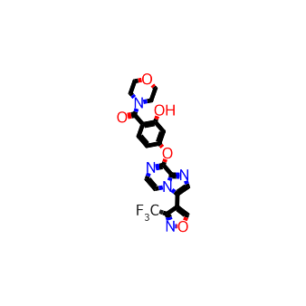 O=C(c1ccc(Oc2nccn3c(-c4conc4C(F)(F)F)cnc23)cc1O)N1CCOCC1